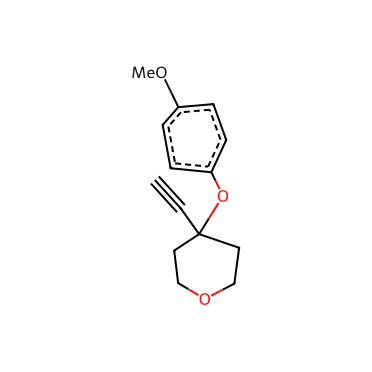 C#CC1(Oc2ccc(OC)cc2)CCOCC1